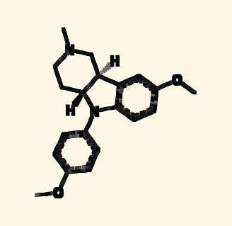 COc1ccc(N2c3ccc(OC)cc3[C@@H]3CN(C)CC[C@H]32)cc1